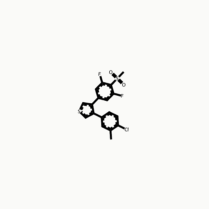 Cc1cc(-c2cscc2-c2cc(F)c(S(C)(=O)=O)c(F)c2)ccc1Cl